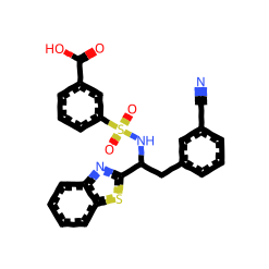 N#Cc1cccc(CC(NS(=O)(=O)c2cccc(C(=O)O)c2)c2nc3ccccc3s2)c1